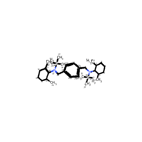 CC1CCCC(C)C1N(Cc1ccc(CN(C2C(C)CCCC2C)[Si](C)(C)C)cc1)[Si](C)(C)C